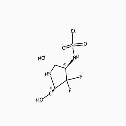 CCS(=O)(=O)N[C@@H]1CN[C@H](CO)C1(F)F.Cl